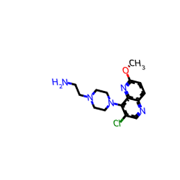 COc1ccc2ncc(Cl)c(N3CCN(CCN)CC3)c2n1